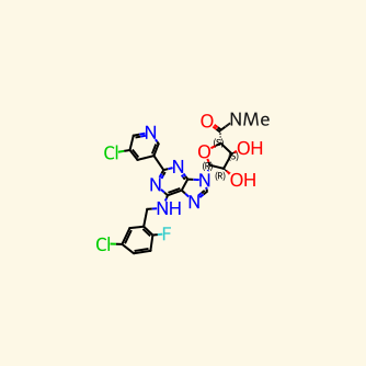 CNC(=O)[C@H]1O[C@@H](n2cnc3c(NCc4cc(Cl)ccc4F)nc(-c4cncc(Cl)c4)nc32)[C@H](O)[C@@H]1O